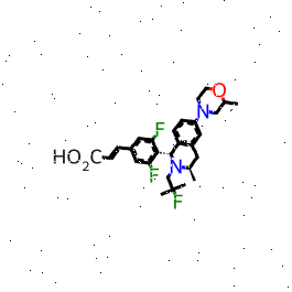 CC1CN(c2ccc3c(c2)C[C@@H](C)N(CC(C)(C)F)[C@@H]3c2c(F)cc(/C=C/C(=O)O)cc2F)CCO1